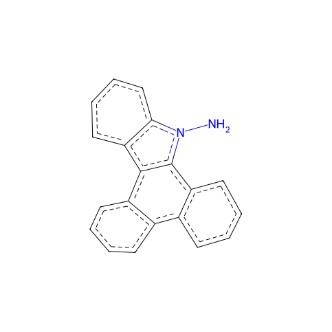 Nn1c2ccccc2c2c3ccccc3c3ccccc3c21